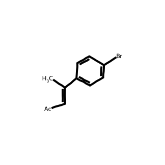 CC(=O)C=C(C)c1ccc(Br)cc1